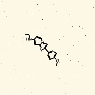 CCNc1ccn2cc(-c3ccc(OC)cc3)nc2c1